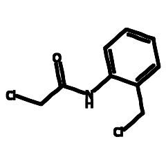 O=C(CCl)Nc1ccccc1CCl